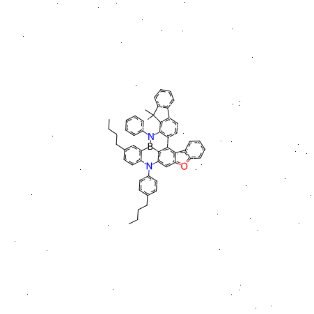 CCCCc1ccc(N2c3ccc(CCCC)cc3B3c4c2cc2oc5ccccc5c2c4-c2ccc4c(c2N3c2ccccc2)C(C)(C)c2ccccc2-4)cc1